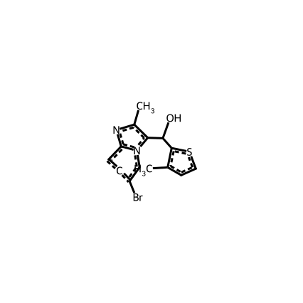 Cc1ccsc1C(O)c1c(C)nc2ccc(Br)cn12